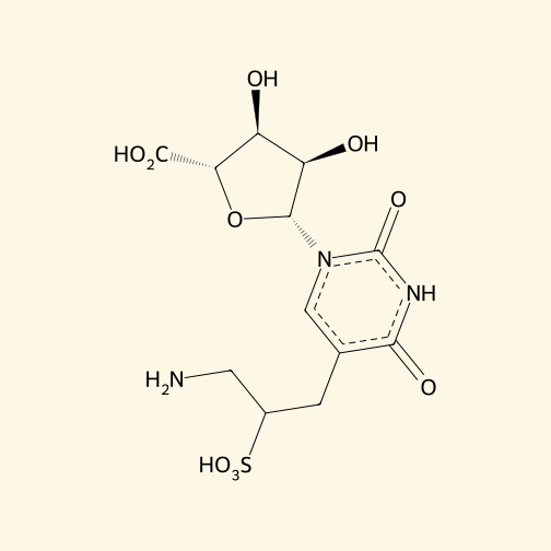 NCC(Cc1cn([C@@H]2O[C@H](C(=O)O)[C@@H](O)[C@H]2O)c(=O)[nH]c1=O)S(=O)(=O)O